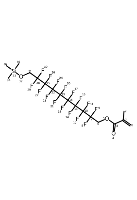 C=C(C)C(=O)OCC(F)(F)C(F)(F)C(F)(F)C(F)(F)C(F)(F)C(F)(F)C(F)(F)C(F)(F)CO[Si](C)(C)C